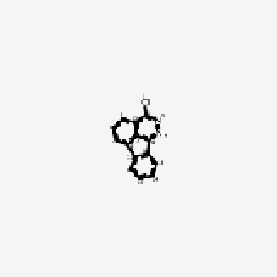 Clc1nnc2c3c(cccc13)-c1ccccc1-2